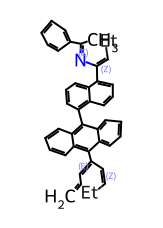 C=C/C=C(\C=C/CC)c1c2ccccc2c(-c2cccc3c(C(=C/CC)/N=C(\C)c4ccccc4)cccc23)c2ccccc12